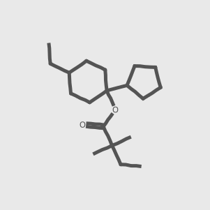 CCC1CCC(OC(=O)C(C)(C)CC)(C2CCCC2)CC1